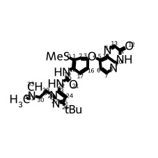 CSc1cc(Oc2ccnc3[nH]c(=O)cnc23)ccc1NC(=O)Nc1cc(C(C)(C)C)nn1CCN(C)C